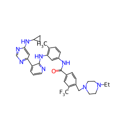 CCN1CCN(Cc2ccc(C(=O)Nc3ccc(C)c(Nc4ncccc4-c4cc(NC5CC5)ncn4)c3)cc2C(F)(F)F)CC1